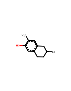 CCC1CCc2cc(O)c([N+](=O)[O-])cc2C1